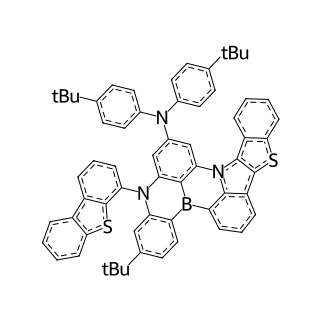 CC(C)(C)c1ccc(N(c2ccc(C(C)(C)C)cc2)c2cc3c4c(c2)-n2c5c(cccc5c5sc6ccccc6c52)B4c2ccc(C(C)(C)C)cc2N3c2cccc3c2sc2ccccc23)cc1